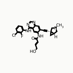 CN1C[C@H]2C[C@@]2(C#Cc2cc3ncnc(Nc4cccc(Cl)c4F)c3cc2NC(=O)/C=C/CO)C1